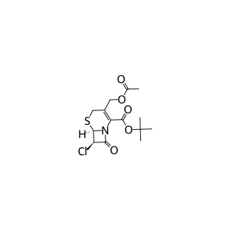 CC(=O)OCC1=C(C(=O)OC(C)(C)C)N2C(=O)[C@@H](Cl)[C@H]2SC1